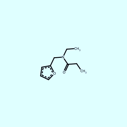 CCC(=O)N(CC)Cc1ccco1